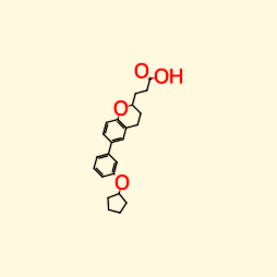 O=C(O)CCC1CCc2cc(-c3cccc(OC4CCCC4)c3)ccc2O1